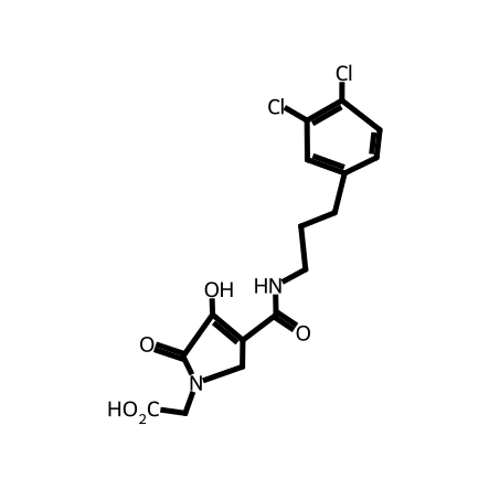 O=C(O)CN1CC(C(=O)NCCCc2ccc(Cl)c(Cl)c2)=C(O)C1=O